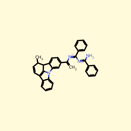 C=C(/N=C(\N=C(/N)c1ccccc1)c1ccccc1)c1ccc2c(c1)-n1c3c(c4ccccc41)C=CC(C)C23